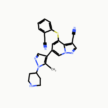 Cc1c(-c2cc(Sc3ccccc3C#N)c3c(C#N)cnn3c2)cnn1C1CCNCC1